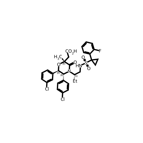 CC[C@@H](CNS(=O)(=O)C1(c2ccccc2F)CC1)N1C(=O)[C@@](C)(CC(=O)O)O[C@H](c2cccc(Cl)c2)[C@H]1c1ccc(Cl)cc1